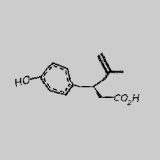 C=C(C)[C@@H](CC(=O)O)c1ccc(O)cc1